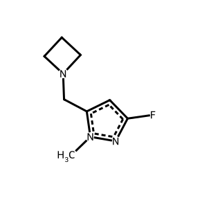 Cn1nc(F)cc1CN1CCC1